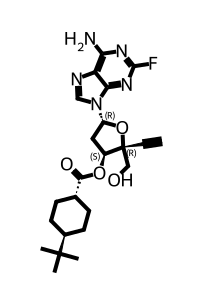 C#C[C@]1(CO)O[C@@H](n2cnc3c(N)nc(F)nc32)C[C@@H]1OC(=O)[C@H]1CC[C@H](C(C)(C)C)CC1